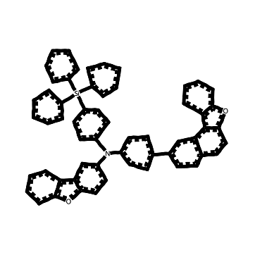 c1ccc([Si](c2ccccc2)(c2ccccc2)c2ccc(N(c3ccc(-c4ccc5ccc6oc7ccccc7c6c5c4)cc3)c3ccc4oc5ccccc5c4c3)cc2)cc1